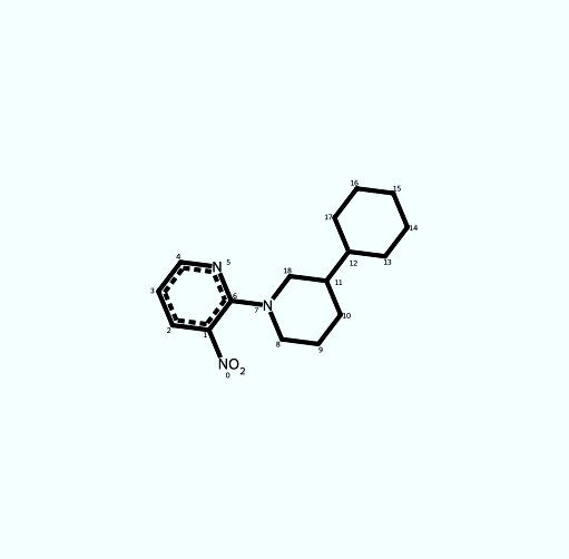 O=[N+]([O-])c1cccnc1N1CCCC(C2CCCCC2)C1